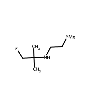 CSCCNC(C)(C)CF